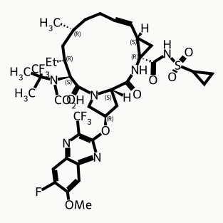 CC[C@@H]1C[C@H](C)CCC=C[C@@H]2C[C@@]2(C(=O)NS(=O)(=O)C2CC2)NC(=O)[C@@H]2C[C@@H](Oc3nc4cc(OC)c(F)cc4nc3C(F)(F)F)CN2C(=O)[C@H]1N(C(=O)O)C(C)(C)C(F)(F)F